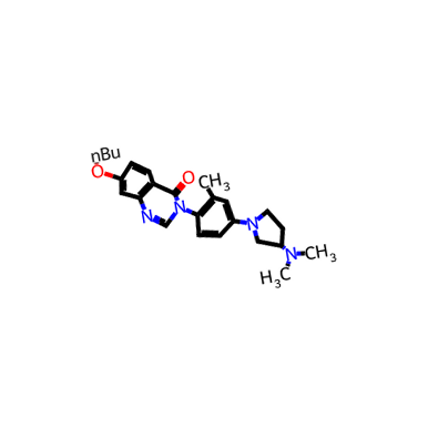 CCCCOc1ccc2c(=O)n(-c3ccc(N4CCC(N(C)C)C4)cc3C)cnc2c1